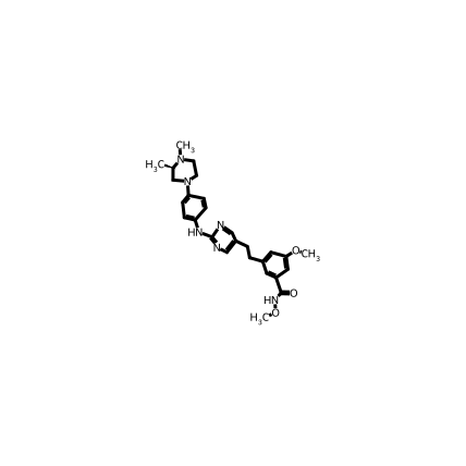 CONC(=O)c1cc(CCc2cnc(Nc3ccc(N4CCN(C)[C@H](C)C4)cc3)nc2)cc(OC)c1